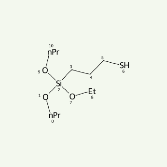 CCCO[Si](CCCS)(OCC)OCCC